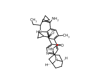 CCC(Nc1cc(C(=O)N[C@H]2C[C@H]3CC[C@@H](C2)N3c2ccc(C(=O)C3CC3)cn2)c(C)cc1C(N)=O)C1CC1